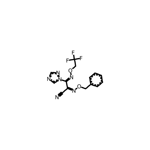 N#CC(=NOCc1ccccc1)C(=NOCC(F)(F)F)n1cncn1